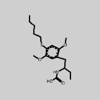 CCCCCSc1cc(OC)c(CC(CC)NC(=O)O)cc1OC